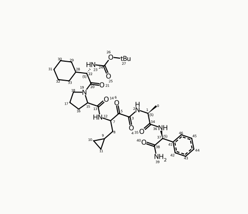 C[C@H](NC(=O)C(=O)C(CC1CC1)NC(=O)C1CCCN1C(=O)[C@@H](NC(=O)OC(C)(C)C)C1CCCCC1)C(=O)N[C@H](C(N)=O)c1ccccc1